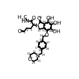 CNC(=O)C(CCC=O)N1Cc2c(OCc3ccc(CN4CCOCC4)cc3)c(O)c(O)c(O)c2C1=O